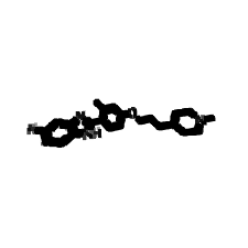 Cc1cc(OCCCC2CCN(C)CC2)ccc1-c1nc2cc(F)ccc2[nH]1